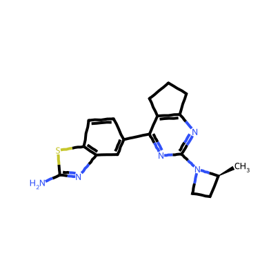 C[C@H]1CCN1c1nc2c(c(-c3ccc4sc(N)nc4c3)n1)CCC2